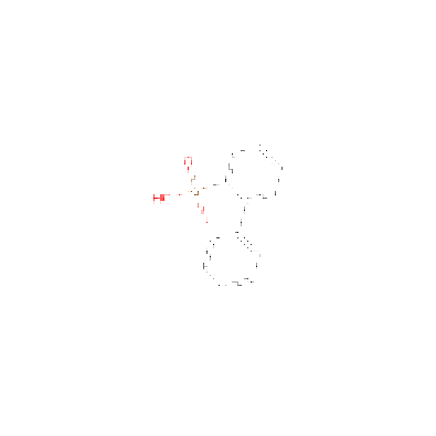 O=S(=O)(O)c1ccccc1-c1[c]cccc1